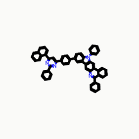 c1ccc(-c2nc(-c3ccc(-c4ccc5c(c4)c4cc6nc(-c7ccccc7)c7ccccc7c6cc4n5-c4ccccc4)cc3)cc(-c3cccc4ccccc34)n2)cc1